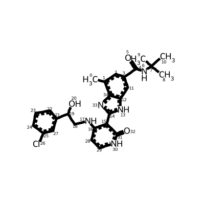 Cc1cc(C(=O)NC(C)(C)C)cc2[nH]c(-c3c(NCC(O)c4cccc(Cl)c4)cc[nH]c3=O)nc12